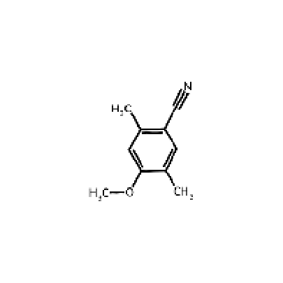 COc1cc(C)c(C#N)cc1C